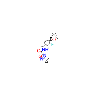 Cc1c(C(C)NC(=O)c2nc(C3(C)CC3)no2)ccc(B2CC(C)(C)C(C)(C)O2)c1F